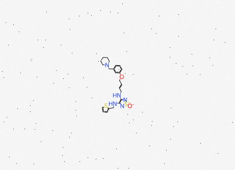 [O-][s+]1nc(NCC=CCOc2cccc(CN3CCCCC3)c2)c(NCc2cccs2)n1